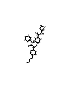 CCCCc1ccc(N(Cc2ccc(C(=O)Nc3nn[nH]n3)cc2)C(=O)Nc2ccccc2)cc1